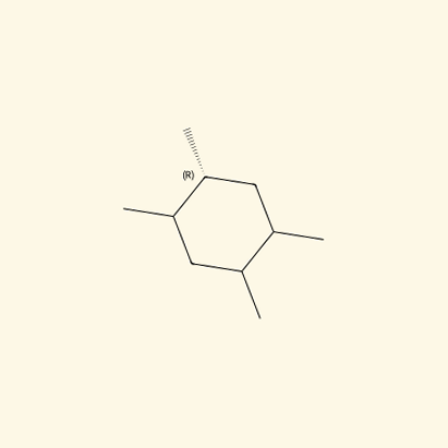 CC1CC(C)[C@H](C)CC1C